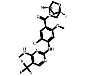 CNc1nc(Nc2cc(OC)c(C(=O)N3C[C@@H]4C[C@H]3CO4)cc2Cl)ncc1C(F)(F)F